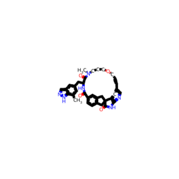 Cc1cc(CC2NC(=O)c3ccc4c(c3)CC3(C4)C(=O)Nc4ncc(cc43)C=CCOCCCN(C)C2=O)cc2cn[nH]c12